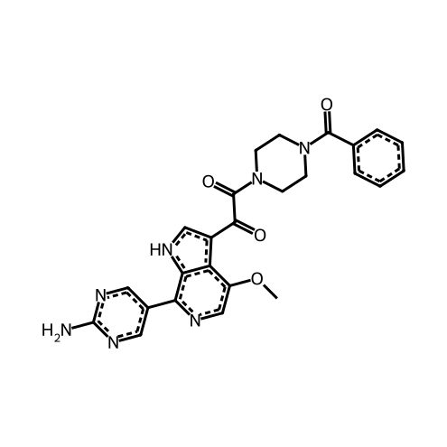 COc1cnc(-c2cnc(N)nc2)c2[nH]cc(C(=O)C(=O)N3CCN(C(=O)c4ccccc4)CC3)c12